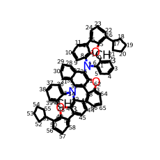 Cc1ccccc1N(c1cccc2c1oc1c(C3CCCC3)cccc12)c1c2ccccc2c(N(c2ccccc2C)c2cccc3c2oc2c(C4CCCC4)cccc23)c2c1oc1ccccc12